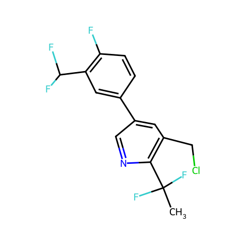 CC(F)(F)c1ncc(-c2ccc(F)c(C(F)F)c2)cc1CCl